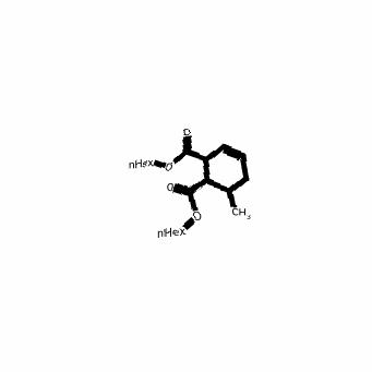 CCCCCCOC(=O)C1C=CCC(C)C1C(=O)OCCCCCC